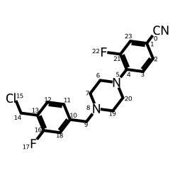 N#Cc1ccc(N2CCN(Cc3ccc(CCl)c(F)c3)CC2)c(F)c1